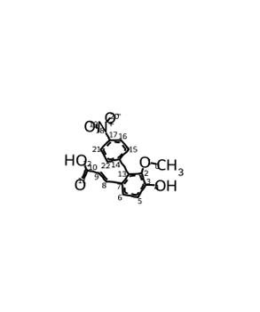 COc1c(O)ccc(C=CC(=O)O)c1-c1ccc([N+](=O)[O-])cc1